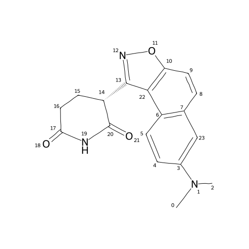 CN(C)c1ccc2c(ccc3onc([C@H]4CCC(=O)NC4=O)c32)c1